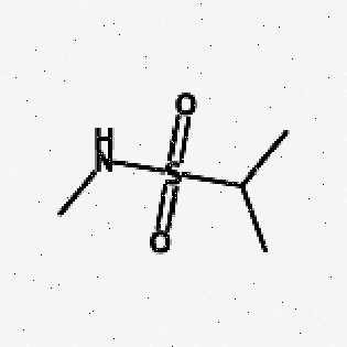 CNS(=O)(=O)C(C)C